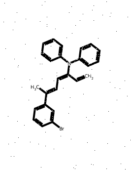 C=C/C(=C\C=C(/C)c1cccc(Br)c1)N(c1ccccc1)c1ccccc1